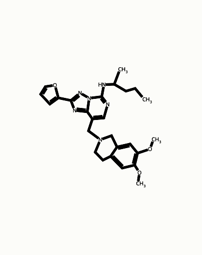 CCCC(C)Nc1ncc(CN2CCc3cc(OC)c(OC)cc3C2)c2nc(-c3ccco3)nn12